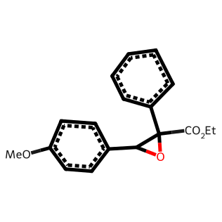 CCOC(=O)C1(c2ccccc2)OC1c1ccc(OC)cc1